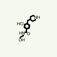 Cl.O=C(NCCO)c1ccc(CC2CCNCC2)cc1